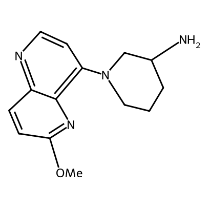 COc1ccc2nccc(N3CCCC(N)C3)c2n1